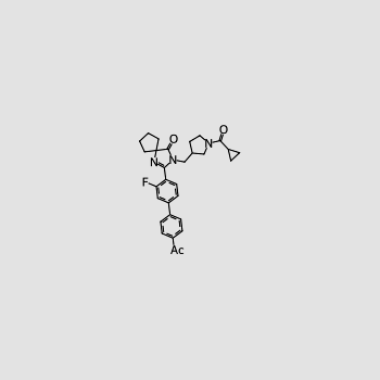 CC(=O)c1ccc(-c2ccc(C3=NC4(CCCC4)C(=O)N3CC3CCN(C(=O)C4CC4)C3)c(F)c2)cc1